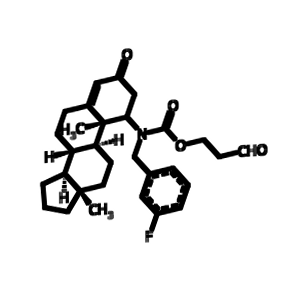 C[C@@]12CCC[C@H]1[C@@H]1CCC3=CC(=O)CC(N(Cc4cccc(F)c4)C(=O)OCCC=O)[C@]3(C)[C@H]1CC2